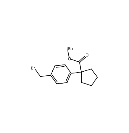 CC(C)(C)OC(=O)C1(c2ccc(CBr)cc2)CCCC1